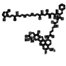 CC[C@@]1(O)C(=O)OCc2c1cc1n(c2=O)Cc2c-1nc1cc(F)c(C)c3c1c2[C@@H](NC(=O)CCCNC(=O)CNC(=O)C(Cc1ccccc1)NC(=O)CNC(=O)CNC(=O)CCOCCOCCNC(=O)CCN1C(=O)C=CC1=O)CC3